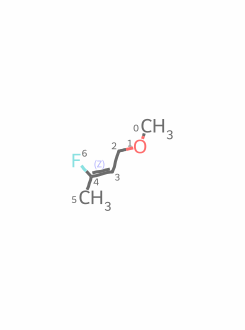 COC/C=C(/C)F